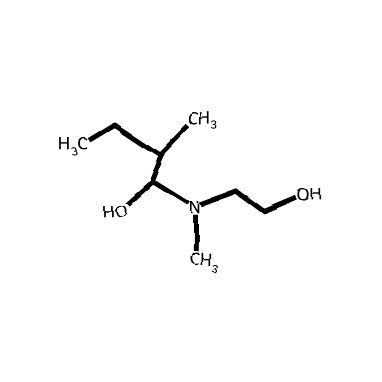 CCC(C)C(O)N(C)CCO